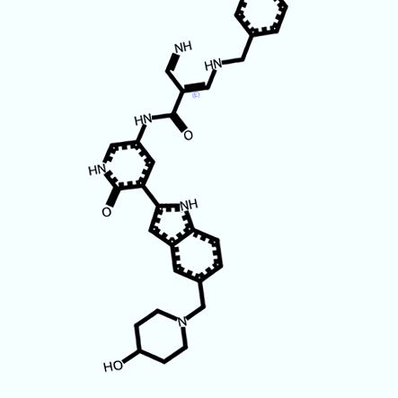 N=C/C(=C\NCc1ccccc1)C(=O)Nc1c[nH]c(=O)c(-c2cc3cc(CN4CCC(O)CC4)ccc3[nH]2)c1